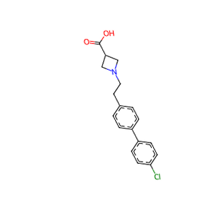 O=C(O)C1CN(CCc2ccc(-c3ccc(Cl)cc3)cc2)C1